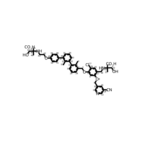 Cc1c(COc2cc(OCc3cncc(C#N)c3)c(CNC(C)(CO)C(=O)O)cc2Cl)cccc1-c1cccc(-c2ccc(OCCNC(C)(CO)C(=O)O)cc2)c1C